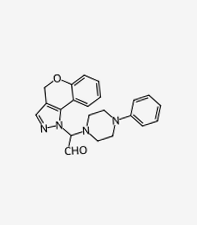 O=CC(N1CCN(c2ccccc2)CC1)n1ncc2c1-c1ccccc1OC2